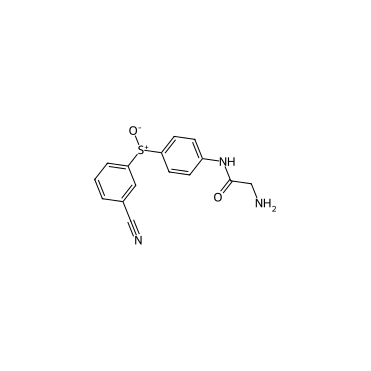 N#Cc1cccc([S+]([O-])c2ccc(NC(=O)CN)cc2)c1